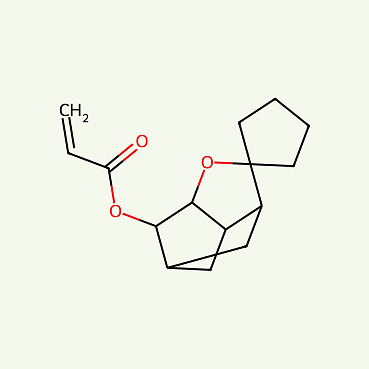 C=CC(=O)OC1C2CC3C1OC1(CCCC1)C3C2